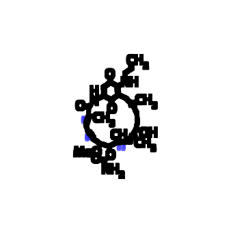 C=CCNC1=C2C[C@@H](C)CCC(O)[C@@H](C)/C=C(\C)C(OC(N)=O)C(OC)/C=C\C=C(/C)C(=O)NC(=CC1=O)C2=O